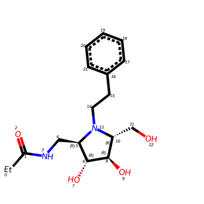 CCC(=O)NC[C@@H]1[C@@H](O)[C@H](O)[C@@H](CO)N1CCc1ccccc1